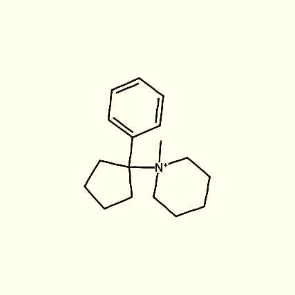 C[N+]1(C2(c3ccccc3)CCCC2)CCCCC1